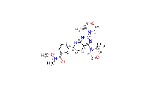 CON(C)C(=O)c1cccc(-c2ccc3c(N4CCOC[C@@H]4C)nc(N4CCOC[C@@H]4C)nc3n2)c1